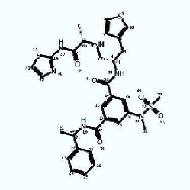 C[C@H](NC[C@H](Cc1ccsc1)NC(=O)c1cc(C(=O)N[C@H](C)c2ccccc2)cc(N(C)S(C)(=O)=O)c1)C(=O)Nc1nccs1